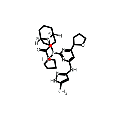 Cc1cc(Nc2cc(C3CCCO3)nc(N(C)C3C[C@H]4CCC[C@@H](C3)N4CC(=O)N3CCCC3)n2)n[nH]1